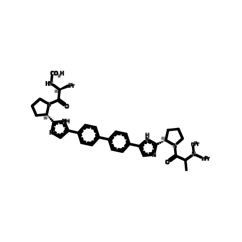 CCCN(CCC)C(C)C(=O)N1CCC[C@H]1c1ncc(-c2ccc(-c3ccc(-c4cnc([C@@H]5CCCN5C(=O)[C@@H](NC(=O)O)C(C)C)[nH]4)cc3)cc2)[nH]1